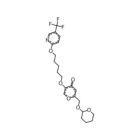 O=c1cc(COC2CCCCO2)occ1OCCCCCOc1ccc(C(F)(F)F)cn1